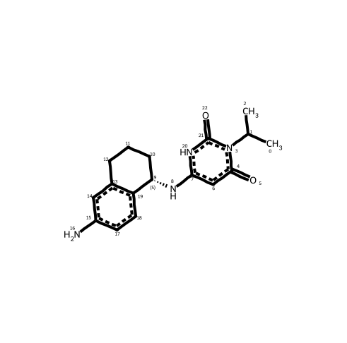 CC(C)n1c(=O)cc(N[C@H]2CCCc3cc(N)ccc32)[nH]c1=O